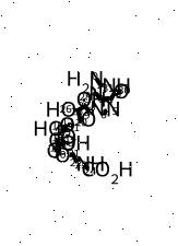 Nc1nc2c(ncn2[C@@H]2O[C@H](COP(=O)(O)OP(=O)(O)OCCNC(=O)O)[C@@H](O)[C@H]2O)c(=O)[nH]1